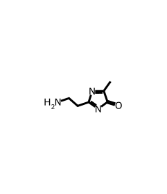 CC1=NC(CCN)=NC1=O